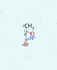 Cc1cc(Br)no1